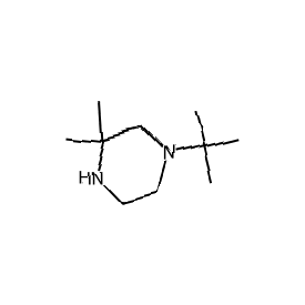 CC1(C)CN(C(C)(C)C)CCN1